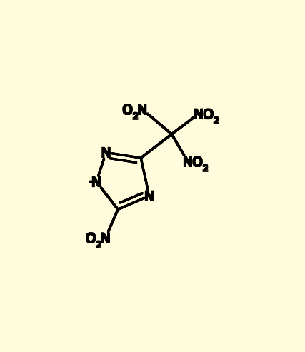 O=[N+]([O-])C1=NC(C([N+](=O)[O-])([N+](=O)[O-])[N+](=O)[O-])=N[N]1